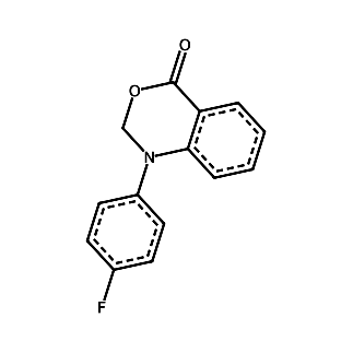 O=C1OCN(c2ccc(F)cc2)c2ccccc21